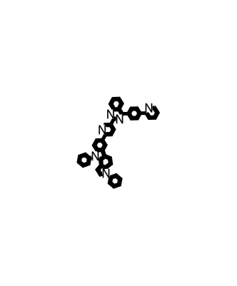 c1ccc(-n2ccc3c2ccc2c4cc(-c5ccc(-c6nc(-c7ccc(-c8ccccn8)cc7)c7ccccc7n6)cn5)ccc4n(-c4ccccc4)c23)cc1